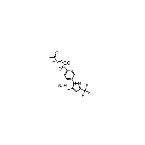 CC(=O)NNS(=O)(=O)c1ccc(-n2nc(C(F)(F)F)cc2C)cc1.[NaH]